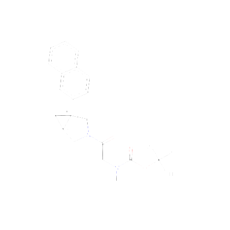 CN(CC(=O)N1C[C@H]2C[C@@]2(c2ccc3ccccc3c2)C1)C(=O)OC(C)(C)C